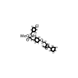 COC(=O)C(Cc1ccc(OCCc2nc(-c3ccccc3)oc2C)cc1)NCc1ccc(Cl)cc1